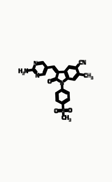 Cc1cc2c(cc1C#N)/C(=C/c1cnc(N)nc1)C(=O)N2c1ccc(S(C)(=O)=O)cc1